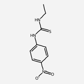 CCNC(=S)Nc1ccc([N+](=O)[O-])cc1